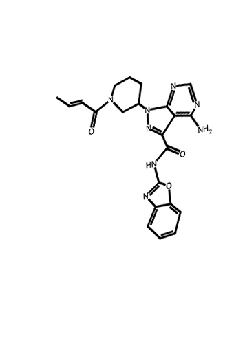 CC=CC(=O)N1CCCC(n2nc(C(=O)Nc3nc4ccccc4o3)c3c(N)ncnc32)C1